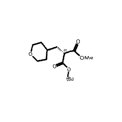 COC(=O)[C@@H](CC1CCOCC1)C(=O)OC(C)(C)C